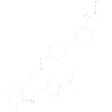 Cc1cccc2c(CCCN3CCC(c4cccc(NC(=O)C(C)C)c4)CC3)c(-c3ccc([N+](=O)[O-])cc3)[nH]c12